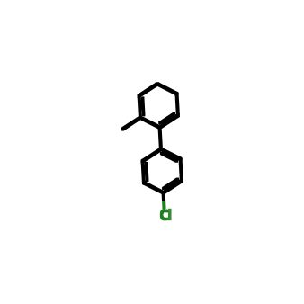 CC1=CCCC=C1c1ccc(Cl)cc1